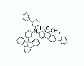 CC1(C)c2cc(-c3ccccc3)ccc2-c2ccc(N(c3cccc(-c4ccccc4)c3)c3cccc(C4(c5ccccc5)c5ccccc5-c5ccccc54)c3)cc21